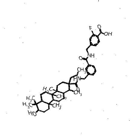 CCCC1(C(=O)NCc2cccc(C(=O)NCc3ccc(C(=O)O)c(F)c3)c2)CC[C@]2(C)C(CCC3C4(C)CCC(O)C(C)(C)C4CCC32C)C1C